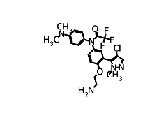 CN(C)c1ccc(N(C(=O)C(F)(F)F)c2ccc(OCCN)c(-c3c(Cl)cnn3C)c2)cc1